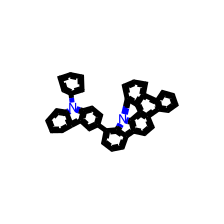 c1ccc(-n2c3ccccc3c3cc(-c4cccc5c6ccc7c8ccccc8c8cccc9c8c7c6n9c45)ccc32)cc1